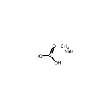 C.O=S(O)O.[NaH]